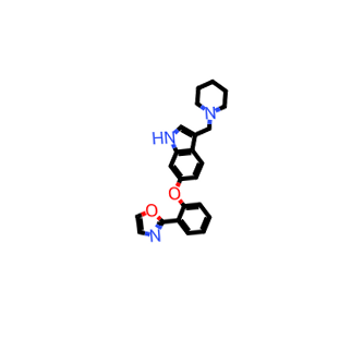 c1ccc(-c2ncco2)c(Oc2ccc3c(CN4CCCCC4)c[nH]c3c2)c1